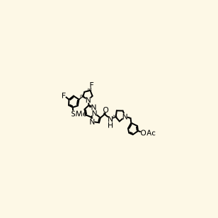 CSc1cc(F)cc([C@H]2C[C@H](F)CN2c2ccc3ncc(C(=O)N[C@H]4CCN(Cc5cccc(OC(C)=O)c5)C4)n3n2)c1